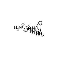 NC(=O)c1nnc(-n2ncc3c(C(N)=O)cccc32)nc1NCc1ccccc1